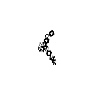 CN1CC2(C1)CN([C@H]1CC[C@H](n3cc(-c4ccc(Oc5ccccc5)cc4)c4c(N)ncnc43)CC1)C2